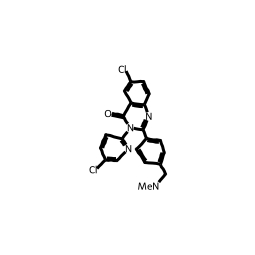 CNCc1ccc(-c2nc3ccc(Cl)cc3c(=O)n2-c2ccc(Cl)cn2)cc1